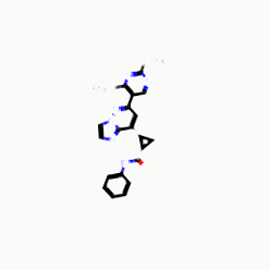 COc1ncc(-c2cc([C@H]3C[C@@H]3C(=O)Nc3ccccc3)c3nccn3n2)c(OC)n1